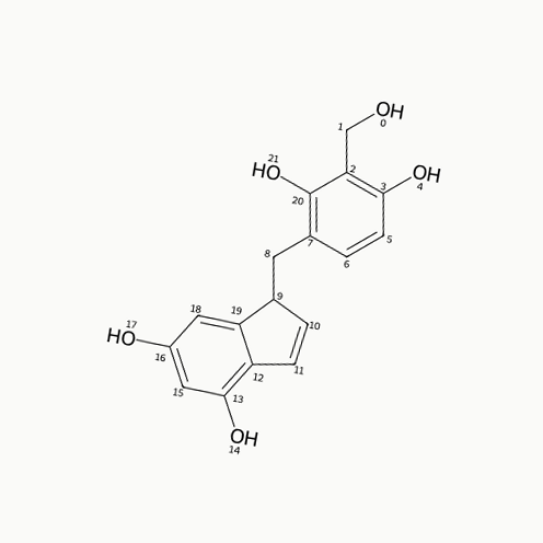 OCc1c(O)ccc(CC2C=Cc3c(O)cc(O)cc32)c1O